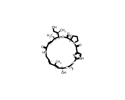 CC1=C\[C@@H](O)C[C@@H](F)Cc2nc(c[nH]2)C(=O)N2CCC[C@@H]2C(=O)O[C@H]([C@H](C)CO)[C@H](C)/C=C/C(=O)NC\C=C\1